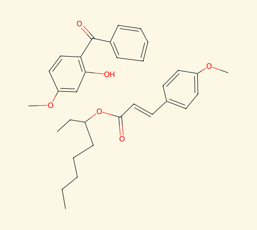 CCCCCC(CC)OC(=O)C=Cc1ccc(OC)cc1.COc1ccc(C(=O)c2ccccc2)c(O)c1